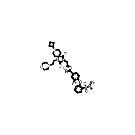 CC(C)N(C)S(=O)(=O)c1ccccc1Oc1ccc(-c2noc(CN3C(=O)N(CCN4CCOCC4)C4(CCN(C5CCC5)CC4)C3=O)n2)cc1C(F)(F)F